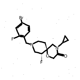 O=C1CO[C@@]2(CCN(Cc3ccc(Br)cc3F)C[C@H]2F)CN1C1CC1